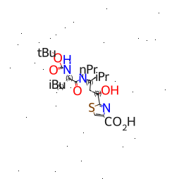 CCCN(C(=O)[C@@H](NC(=O)OC(C)(C)C)[C@@H](C)CC)[C@H](C[C@@H](O)c1nc(C(=O)O)cs1)C(C)C